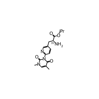 Cc1cn(C)c(=O)n(-c2ccc(C[C@H](N)C(=O)OC(C)C)cn2)c1=O